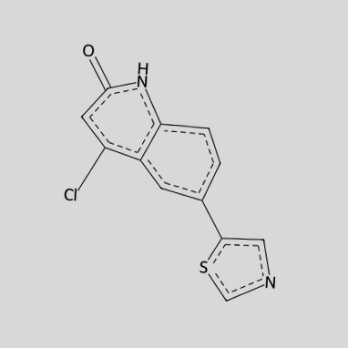 O=c1cc(Cl)c2cc(-c3cncs3)ccc2[nH]1